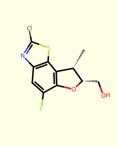 C[C@H]1c2c(c(F)cc3nc(Cl)sc23)O[C@H]1CO